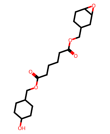 O=C(CCCCC(=O)OCC1CCC2OC2C1)OCC1CCC(O)CC1